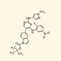 Cn1cc(Nc2ncc(-c3ccc4c(ccn4C(=O)OC(C)(C)C)c3)c(Nc3cc([N+](=O)[O-])ccc3F)n2)cn1